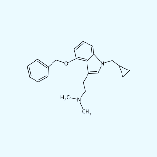 CN(C)CCc1cn(CC2CC2)c2cccc(OCc3ccccc3)c12